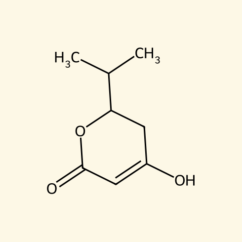 CC(C)C1CC(O)=CC(=O)O1